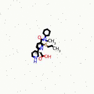 CCCSc1nc([C@]2(CC(=O)O)CCCNC2)ccc1C(=O)N(CC)C1CCCCC1